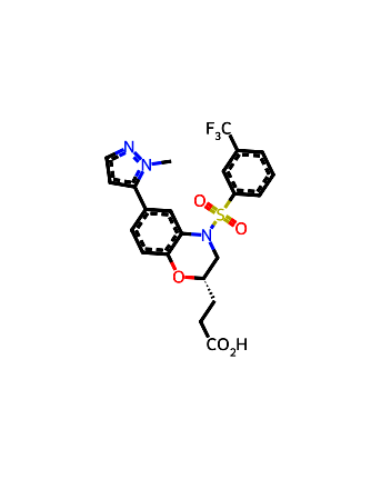 Cn1nccc1-c1ccc2c(c1)N(S(=O)(=O)c1cccc(C(F)(F)F)c1)C[C@H](CCC(=O)O)O2